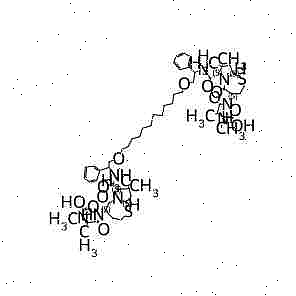 CC(C(=O)N[C@H]1CCS[C@H]2CC(C)(C)[C@@H](C(=O)NC(COCCCCCCCCCCCCOCC(NC(=O)[C@H]3N4C(=O)[C@@H](NC(=O)C(C)N(C)C(=O)O)CCS[C@H]4CC3(C)C)c3ccccc3)c3ccccc3)N2C1=O)N(C)C(=O)O